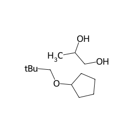 CC(C)(C)COC1CCCC1.CC(O)CO